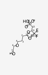 O=C(CCCOCC1CO1)OC(CS(=O)(=O)O)C(F)(F)F